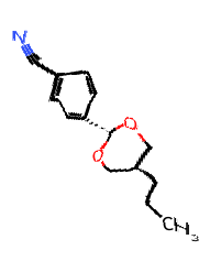 CCC[C@H]1CO[C@H](c2ccc(C#N)cc2)OC1